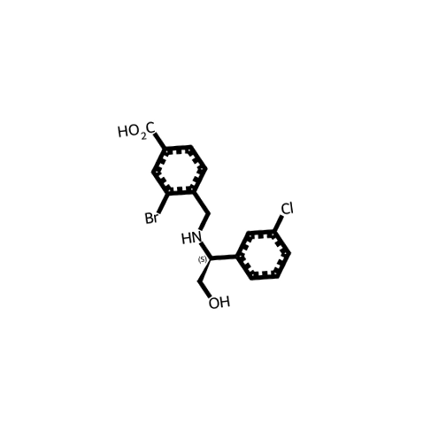 O=C(O)c1ccc(CN[C@H](CO)c2cccc(Cl)c2)c(Br)c1